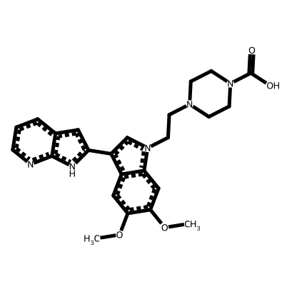 COc1cc2c(-c3cc4cccnc4[nH]3)cn(CCN3CCN(C(=O)O)CC3)c2cc1OC